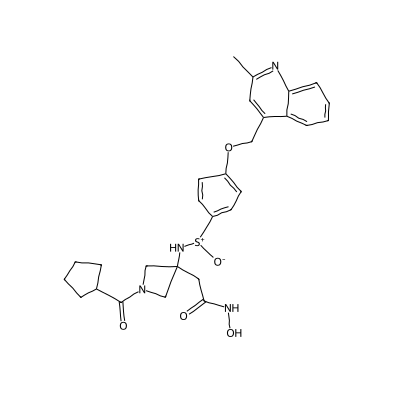 Cc1cc(COc2ccc([S+]([O-])NC3(CC(=O)NO)CN(C(=O)C4CCCC4)C3)cc2)c2ccccc2n1